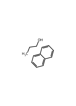 CCCO.c1ccc2ccccc2c1